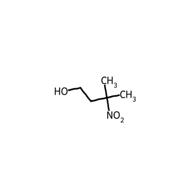 CC(C)(CCO)[N+](=O)[O-]